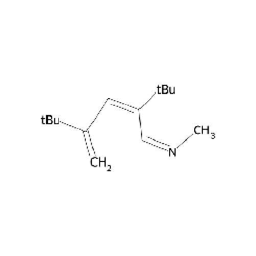 C=C(/C=C(\C=N/C)C(C)(C)C)C(C)(C)C